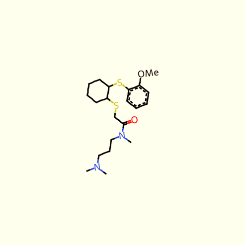 COc1ccccc1SC1CCCCC1SCC(=O)N(C)CCCN(C)C